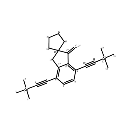 C[Si](C)(C)C#Cc1ccc(C#C[Si](C)(C)C)c2c1CC1(CCCC1)C2=O